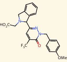 COc1ccc(Cn2nc(C3c4ccccc4CN3CC(=O)O)cc(C(F)(F)F)c2=O)cc1